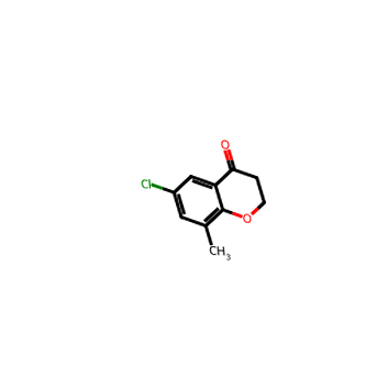 Cc1cc(Cl)cc2c1OCCC2=O